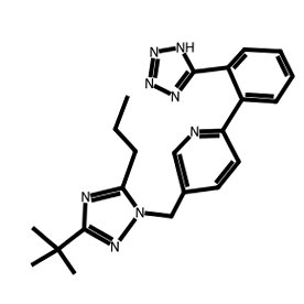 CCCc1nc(C(C)(C)C)nn1Cc1ccc(-c2ccccc2-c2nnn[nH]2)nc1